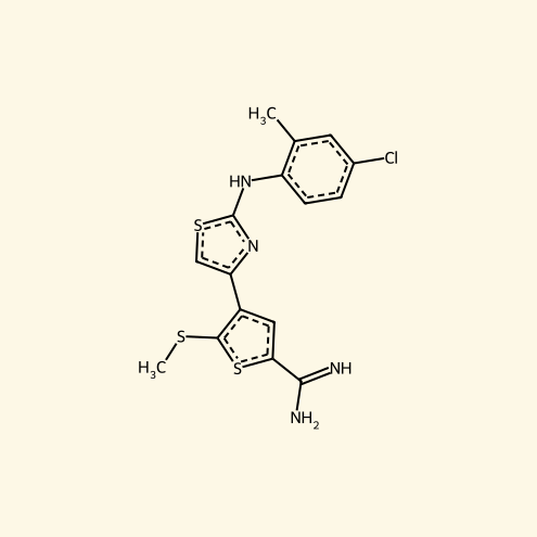 CSc1sc(C(=N)N)cc1-c1csc(Nc2ccc(Cl)cc2C)n1